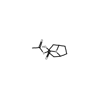 CC(=O)SC1CC2CCC(C1)N2C(=O)O